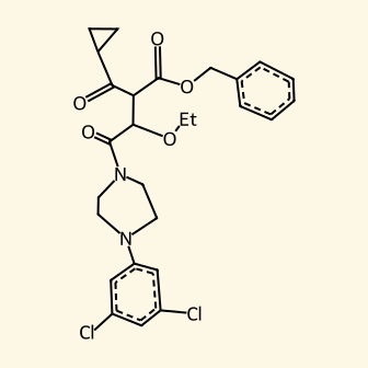 CCOC(C(=O)N1CCN(c2cc(Cl)cc(Cl)c2)CC1)C(C(=O)OCc1ccccc1)C(=O)C1CC1